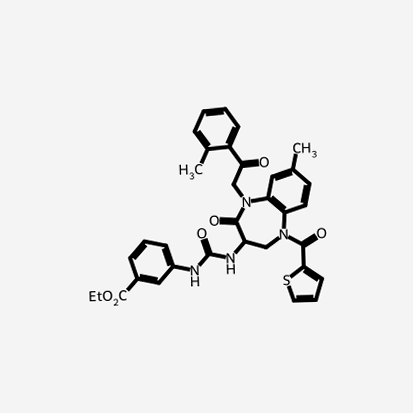 CCOC(=O)c1cccc(NC(=O)NC2CN(C(=O)c3cccs3)c3ccc(C)cc3N(CC(=O)c3ccccc3C)C2=O)c1